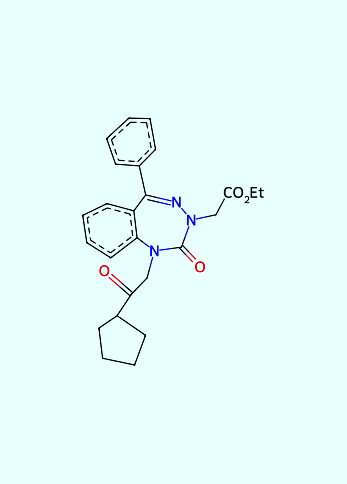 CCOC(=O)CN1N=C(c2ccccc2)c2ccccc2N(CC(=O)C2CCCC2)C1=O